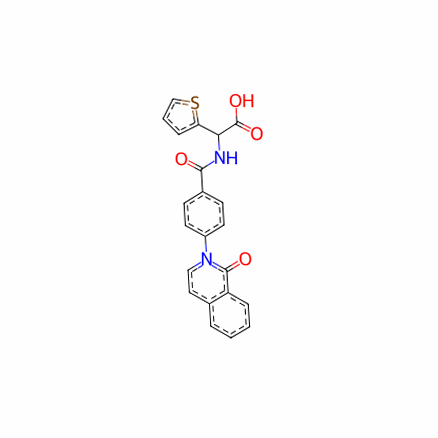 O=C(NC(C(=O)O)c1cccs1)c1ccc(-n2ccc3ccccc3c2=O)cc1